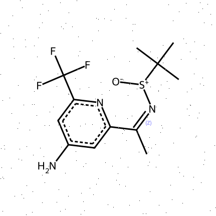 C/C(=N/[S+]([O-])C(C)(C)C)c1cc(N)cc(C(F)(F)F)n1